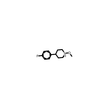 CO[SiH]1CCC(c2ccc(F)cc2)CC1